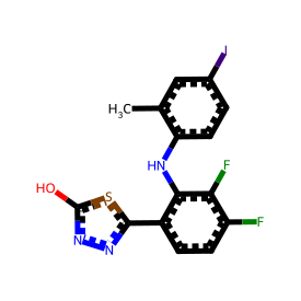 Cc1cc(I)ccc1Nc1c(-c2nnc(O)s2)ccc(F)c1F